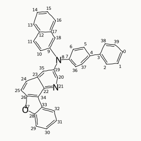 c1ccc(-c2ccc(N(c3ccc4ccccc4c3)c3cnc4c(ccc5oc6ccccc6c54)c3)cc2)cc1